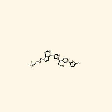 C[Si](C)(C)CCOCn1ccc2c(-c3cnn(C(CC#N)C4CCN(c5nc(Br)cs5)C4)c3)ncnc21